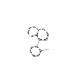 Cc1ccccc1-c1cccc2cccnc12